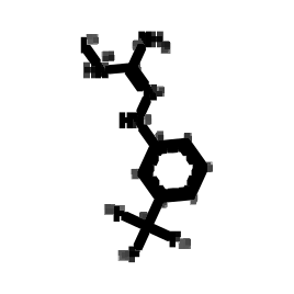 N/C(=N/Nc1cccc(C(F)(F)F)c1)NI